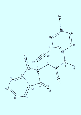 CN(C(=O)CN1C(=O)c2ccccc2C1=O)c1ccc(F)cc1C#N